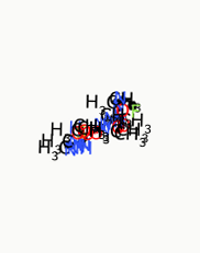 Cc1n[nH]c(Nc2ncnc3cc(OCCOc4cnc(N5CCN(C[C@H]6CN(C(=O)OC(C)(C)C)[C@H](C)CN6CC(=O)N6CC(C)(C)c7ncc(Cc8ccc(F)cc8)cc76)C(C)C5)nc4)c(S(=O)(=O)C(C)(C)C)cc23)c1C